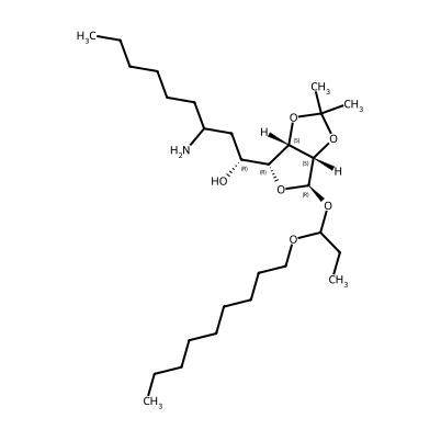 CCCCCCCCCOC(CC)O[C@H]1O[C@H]([C@H](O)CC(N)CCCCCC)[C@@H]2OC(C)(C)O[C@H]12